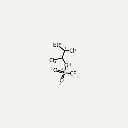 CCC(Cl)C(Cl)OS(=O)(=O)C(F)(F)F